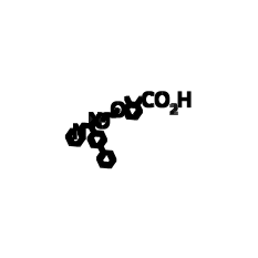 Cc1c(CC(=O)O)cccc1OCCON=C(CN1CC=CCC1)c1ccc(-c2ccccc2)cc1